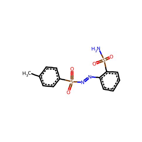 Cc1ccc(S(=O)(=O)N=Nc2ccccc2S(N)(=O)=O)cc1